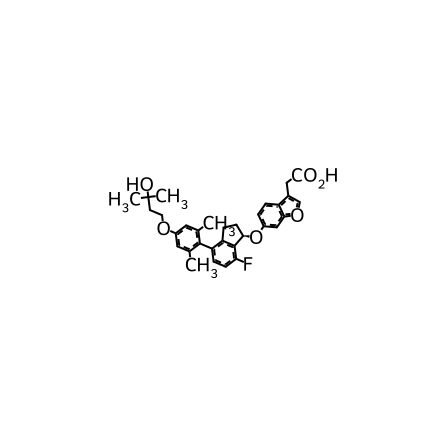 Cc1cc(OCCC(C)(C)O)cc(C)c1-c1ccc(F)c2c1CC[C@H]2Oc1ccc2c(CC(=O)O)coc2c1